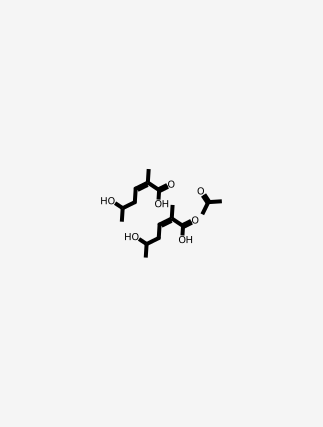 CC(=CCC(C)O)C(=O)O.CC(=CCC(C)O)C(=O)O.CC(C)=O